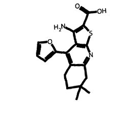 CC1(C)CCc2c(nc3sc(C(=O)O)c(N)c3c2-c2ccco2)C1